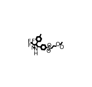 CC(=O)OCCCS(=O)(=O)c1ccc(-c2[nH]nc(C(F)(F)F)c2-c2ccc(C)cc2)cc1